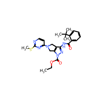 CCOC(=O)n1nc(NC(=O)c2ccccc2C(C)(C)C)c2c1CN(c1ccnc(SC)n1)C2